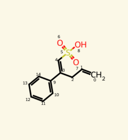 C=CCC(=CS(=O)(=O)O)c1ccccc1